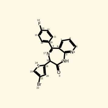 O=C1Nc2ncccc2C(c2ccc(F)cc2)=NC1c1cc(Br)cs1